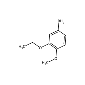 Bc1ccc(OC)c(OCC)c1